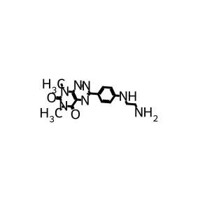 Cn1c(=O)c2nc(-c3ccc(NCCN)cc3)nnc2n(C)c1=O